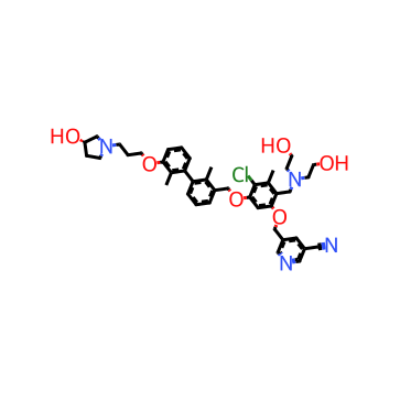 Cc1c(COc2cc(OCc3cncc(C#N)c3)c(CN(CCO)CCO)c(C)c2Cl)cccc1-c1cccc(OCCCN2CC[C@@H](O)C2)c1C